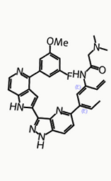 C=C/C(=C\C(=C/C)c1ccc2[nH]nc(-c3cc4c(-c5cc(F)cc(OC)c5)nccc4[nH]3)c2n1)NC(=O)CN(C)C